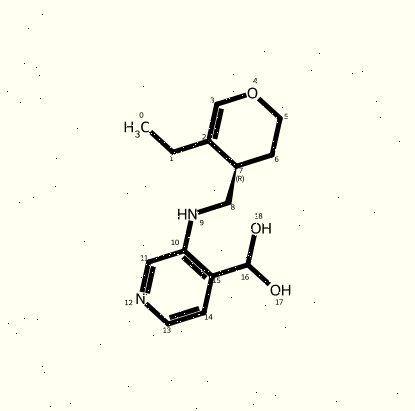 CCC1=COCC[C@H]1CNc1cnccc1C(O)O